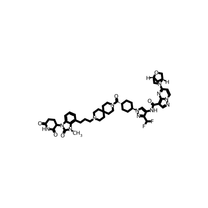 Cn1c(=O)n(C2CCC(=O)NC2=O)c2cccc(CCCN3CCC4(CC3)CCN(C(=O)[C@H]3CC[C@H](n5cc(NC(=O)c6cnn7ccc(N8C[C@H]9C[C@@H]8CO9)nc67)c(C(F)F)n5)CC3)CC4)c21